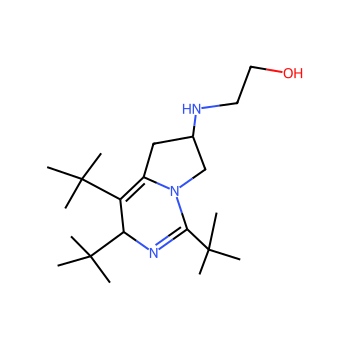 CC(C)(C)C1=NC(C(C)(C)C)C(C(C)(C)C)=C2CC(NCCO)CN12